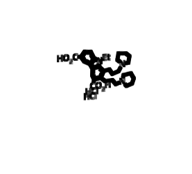 CCn1c2ccc(C(=O)O)cc2c2cc(C(=O)O)c(CCCN3CCCCC3)c(CCCN3CCCCC3)c21.Cl.Cl